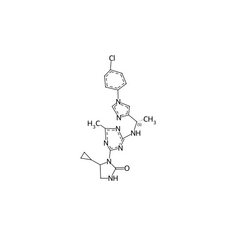 Cc1nc(N[C@@H](C)c2cn(-c3ccc(Cl)cc3)cn2)nc(N2C(=O)NCC2C2CC2)n1